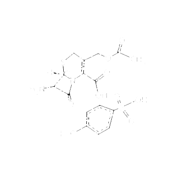 CC(=O)OCC1=C(C(=O)O)N2C(=O)C(N)[C@@H]2SC1.Cc1ccc(S(=O)(=O)O)cc1